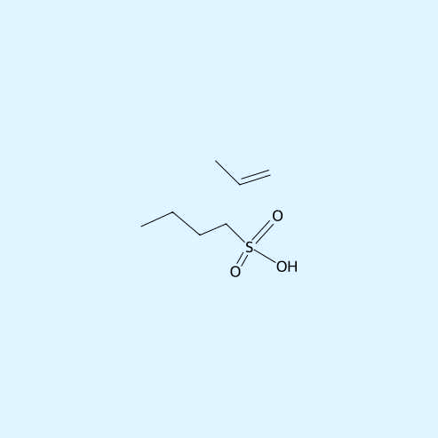 C=CC.CCCCS(=O)(=O)O